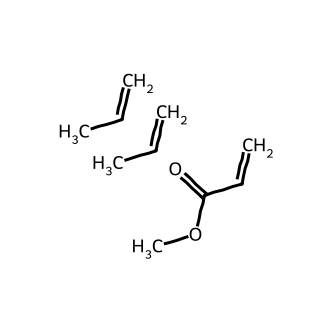 C=CC.C=CC.C=CC(=O)OC